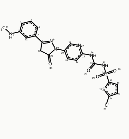 CNc1cccc(C2=NN(c3ccc(NC(=O)NS(=O)(=O)c4ccc(Cl)s4)nc3)C(=O)C2)c1